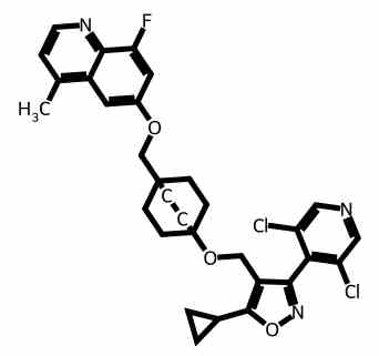 Cc1ccnc2c(F)cc(OCC34CCC(OCc5c(-c6c(Cl)cncc6Cl)noc5C5CC5)(CC3)CC4)cc12